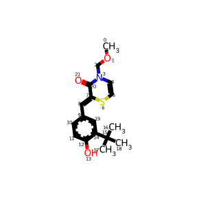 COCN1C=CSC(=Cc2ccc(O)c(C(C)(C)C)c2)C1=O